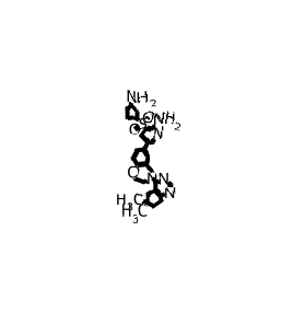 CC1(C)CCc2ncnc(N3CCOc4ccc(-c5cnc(N)c(S(=O)(=O)C6CCC(N)C6)c5)cc4C3)c2C1